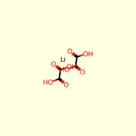 O=C(O)C(=O)O.O=C(O)C(=O)O.[Li]